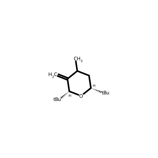 C=C1C(C)C[C@H](C(C)(C)C)O[C@@H]1C(C)(C)C